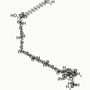 C=C(COCCOCCNC(=O)COCCOCCNC(=O)CC[C@H](NC(=O)CCCCCCCCCCCCCCCS(=O)(=O)O)C(=O)O)NCCOCCOCC(=O)NCCOCCOCC(=O)NCCOCCOCC(=O)NCCCC[C@H](CC(=O)CC(C)C)C(=O)C(C)[C@@H](CCCNC(=N)N)C(=O)N[C@@H](Cc1ccc(O)cc1)C(N)=O